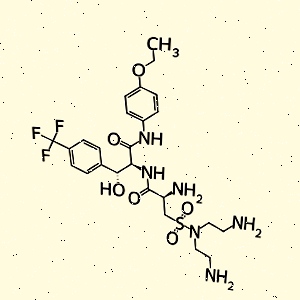 CCOc1ccc(NC(=O)[C@@H](NC(=O)[C@@H](N)CS(=O)(=O)N(CCN)CCN)[C@H](O)c2ccc(C(F)(F)F)cc2)cc1